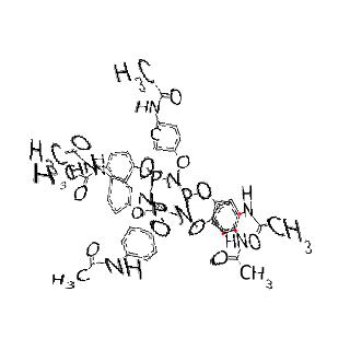 CC(=O)Nc1ccc(ON2P(Oc3ccc(NC(C)=O)cc3)N=P(Oc3ccc(NC(C)=O)cc3)(Oc3ccc(NC(C)=O)cc3)N(Oc3ccc(NC(C)=O)cc3)P2Oc2ccc(NC(C)=O)cc2)cc1